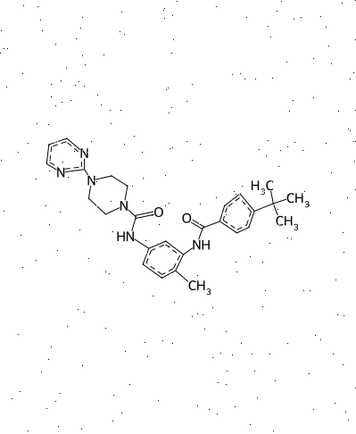 Cc1ccc(NC(=O)N2CCN(c3ncccn3)CC2)cc1NC(=O)c1ccc(C(C)(C)C)cc1